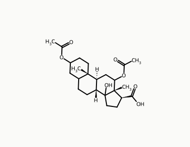 CC(=O)OC1CC[C@@]2(C)C(CC[C@@H]3[C@@H]2CC(OC(C)=O)[C@]2(C)[C@@H](C(=O)O)CCC32O)C1